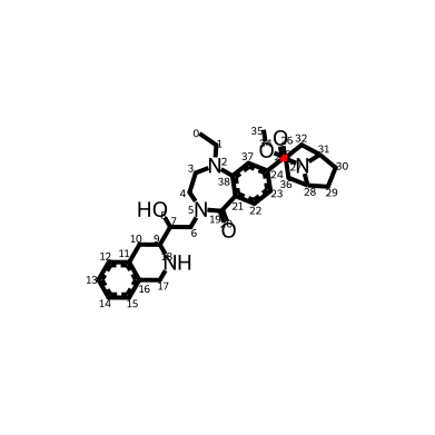 CCN1CCN(CC(O)C2Cc3ccccc3CN2)C(=O)c2ccc(C(=O)N3C4CCC3CC(OC)C4)cc21